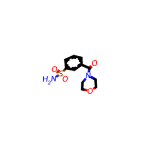 NS(=O)(=O)c1cccc(C(=O)N2CCOCC2)c1